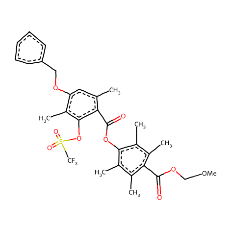 COCOC(=O)c1c(C)c(C)c(OC(=O)c2c(C)cc(OCc3ccccc3)c(C)c2OS(=O)(=O)C(F)(F)F)c(C)c1C